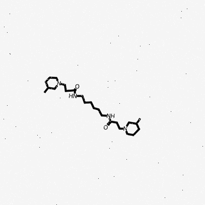 CC1CCCN(CCC(=O)NCCCCCCNC(=O)CCN2CCCC(C)C2)C1